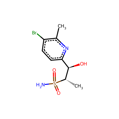 Cc1nc([C@@H](O)[C@H](C)S(N)(=O)=O)ccc1Br